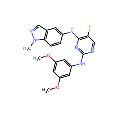 COc1cc(Nc2ncc(F)c(Nc3ccc4c(cnn4C)c3)n2)cc(OC)c1